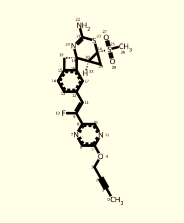 CC#CCOc1cnc(/C(F)=C/c2ccc3c(c2)[C@@]2(C3)N=C(N)S[C@@]3(S(C)(=O)=O)C[C@H]32)cn1